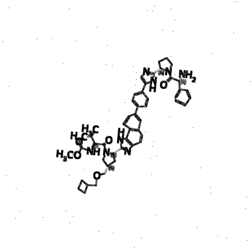 COC(=O)N[C@H](C(=O)N1C[C@@H](COCC2CCC2)C[C@H]1c1nc2ccc3cc(-c4ccc(-c5cnc([C@@H]6CCCN6C(=O)[C@H](N)c6ccccc6)[nH]5)cc4)ccc3c2[nH]1)C(C)C